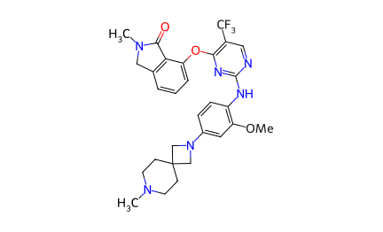 COc1cc(N2CC3(CCN(C)CC3)C2)ccc1Nc1ncc(C(F)(F)F)c(Oc2cccc3c2C(=O)N(C)C3)n1